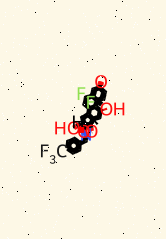 CC12C=CC(=O)C=C1[C@@H](F)CC1C3C[C@H]4CN(Cc5ccc(C(F)(F)F)cc5)O[C@@]4(C(=O)CO)[C@@]3(C)C[C@H](O)[C@@]12F